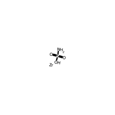 NS(=O)(=O)O.[Zr]